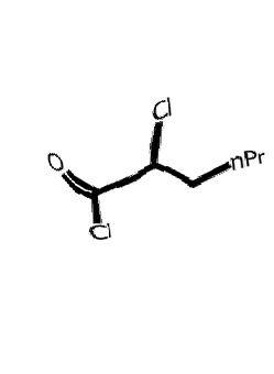 CCCCC(Cl)C(=O)Cl